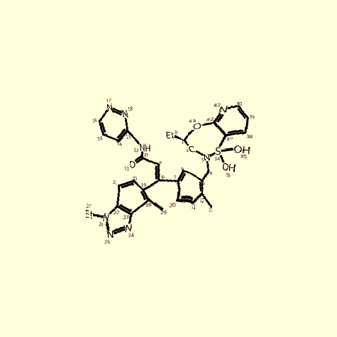 CC[C@@H]1CN(Cc2cc(/C(=C/C(=O)Nc3cccnn3)c3ccc4c(nnn4CC)c3C)ccc2C)S(O)(O)c2cccnc2O1